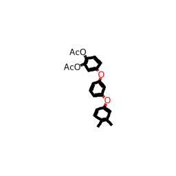 CC(=O)Oc1ccc(Oc2cccc(Oc3ccc(C)c(C)c3)c2)cc1OC(C)=O